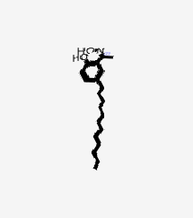 CCCCCCCCCCCCc1ccc(O)c(/C(C)=N\O)c1